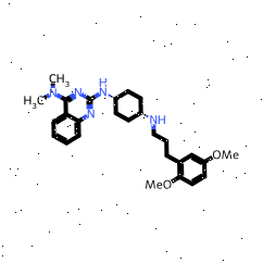 COc1ccc(OC)c(CCCN[C@H]2CC[C@@H](Nc3nc(N(C)C)c4ccccc4n3)CC2)c1